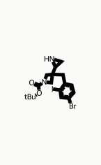 CC(C)(C)OC(=O)N1CC(Cc2ccc(Br)cc2I)(C2CN2)C1